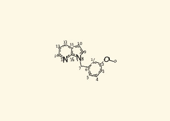 COc1cccc(Cn2ccc3cccnc32)c1